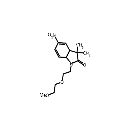 COCCOCCN1C(=O)C(C)(C)C2C=C([N+](=O)[O-])C=CC21